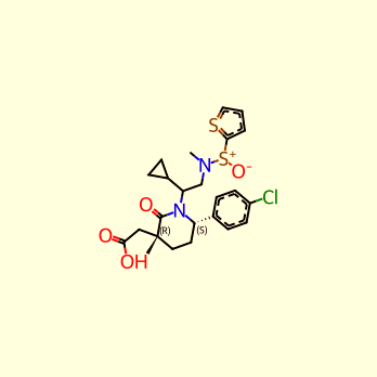 CN(CC(C1CC1)N1C(=O)[C@@](C)(CC(=O)O)CC[C@H]1c1ccc(Cl)cc1)[S+]([O-])c1cccs1